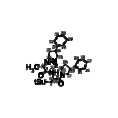 C[C@H](N)C(=O)N[C@H](CC(C)(C)C)C(=O)N1C[C@@H](c2ccccc2)C[C@H]1CN1CCC(c2ccccc2)C1